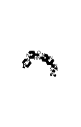 CN1CCN(c2cc(C(=O)Nc3cc4cc(-c5nnc(N(C)C)s5)cnc4cn3)ccn2)CC1